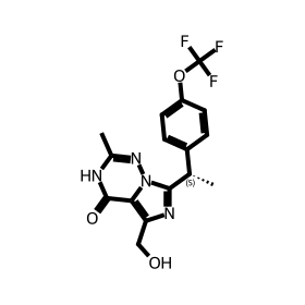 Cc1nn2c([C@@H](C)c3ccc(OC(F)(F)F)cc3)nc(CO)c2c(=O)[nH]1